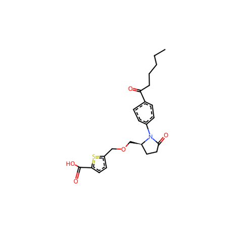 CCCCCC(=O)c1ccc(N2C(=O)CC[C@H]2COCc2ccc(C(=O)O)s2)cc1